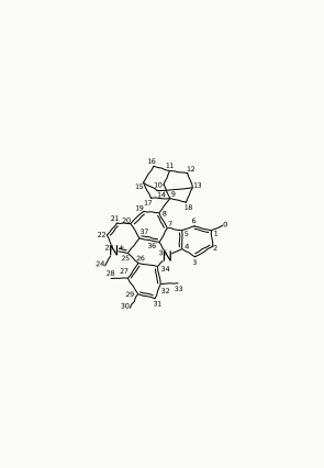 Cc1ccc2c(c1)c1c(C34CC5CC(CC(C5)C3)C4)cc3cc[n+](C)c4c5c(C)c(C)cc(C)c5n2c1c34